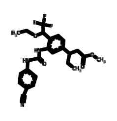 CCOC(c1ccc(C(CC)CC(=O)OC)cc1NC(=O)Nc1ccc(C#N)cc1)C(F)(F)F